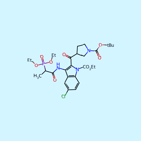 CCOC(=O)n1c(C(=O)C2CCN(C(=O)OC(C)(C)C)C2)c(NC(=O)C(C)P(=O)(OCC)OCC)c2cc(Cl)ccc21